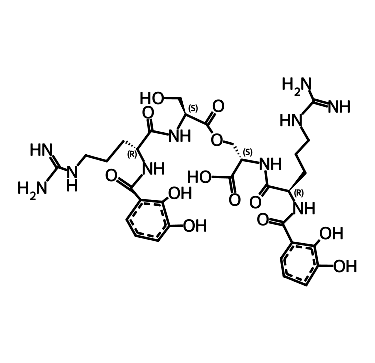 N=C(N)NCCC[C@@H](NC(=O)c1cccc(O)c1O)C(=O)N[C@@H](COC(=O)[C@H](CO)NC(=O)[C@@H](CCCNC(=N)N)NC(=O)c1cccc(O)c1O)C(=O)O